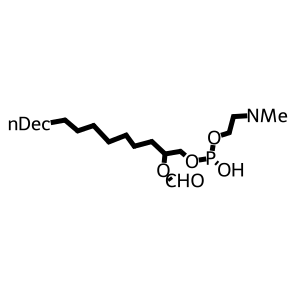 CCCCCCCCCCCCCCCCCC(COP(O)OCCNC)OC=O